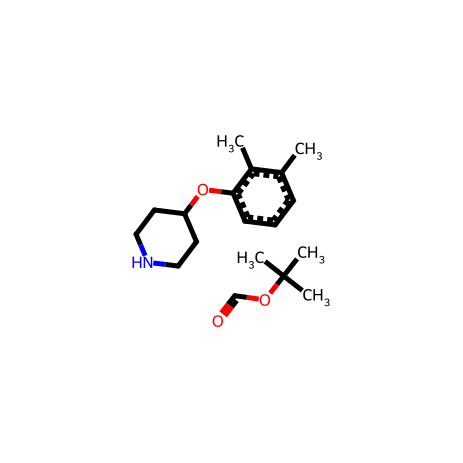 CC(C)(C)OC=O.Cc1cccc(OC2CCNCC2)c1C